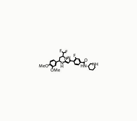 COc1ccc(C2CC(C(F)F)n3nc(-c4ccc(C(=O)N[C@H]5CCCNC5)cc4F)cc3N2)cc1OC